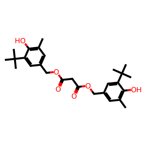 Cc1cc(COC(=O)CC(=O)OCc2cc(C)c(O)c(C(C)(C)C)c2)cc(C(C)(C)C)c1O